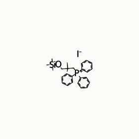 CC(C)(CO[Si](C)(C)C)C[P+](c1ccccc1)(c1ccccc1)c1ccccc1.[I-]